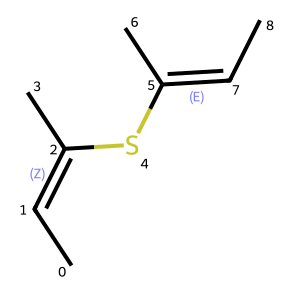 C/C=C(/C)S/C(C)=C/C